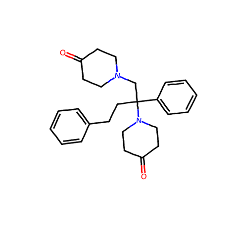 O=C1CCN(CC(CCc2ccccc2)(c2ccccc2)N2CCC(=O)CC2)CC1